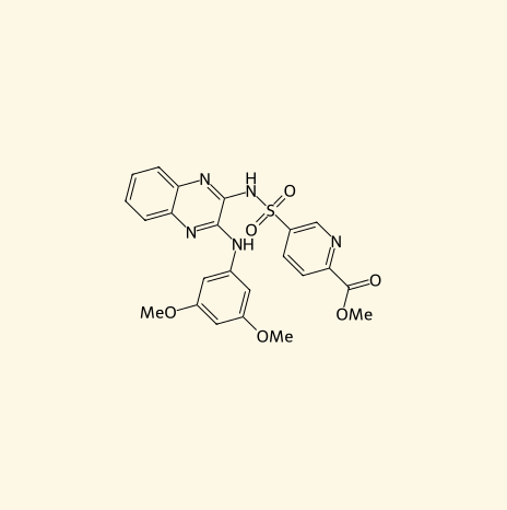 COC(=O)c1ccc(S(=O)(=O)Nc2nc3ccccc3nc2Nc2cc(OC)cc(OC)c2)cn1